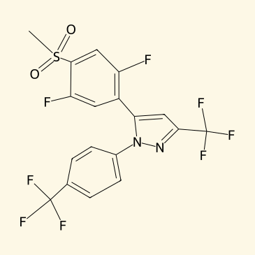 CS(=O)(=O)c1cc(F)c(-c2cc(C(F)(F)F)nn2-c2ccc(C(F)(F)F)cc2)cc1F